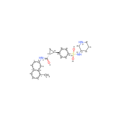 Cc1cccc2ccc(NC(=O)[C@@H]3C[C@H]3c3ccc(S(=O)(=O)NC4CCCNC4)cc3)cc12